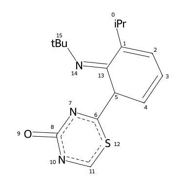 CC(C)C1=CC=CC(c2nc(=O)ncs2)C1=NC(C)(C)C